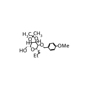 CCS[C@@H]1O[C@H](CO)[C@@H]2OC(C)(C)O[C@@H]2[C@H]1OCc1ccc(OC)cc1